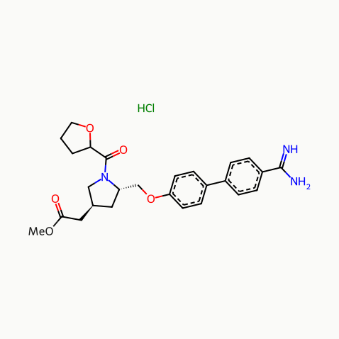 COC(=O)C[C@@H]1C[C@@H](COc2ccc(-c3ccc(C(=N)N)cc3)cc2)N(C(=O)C2CCCO2)C1.Cl